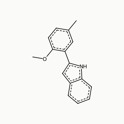 COc1ccc(C)cc1-c1cc2ccccc2[nH]1